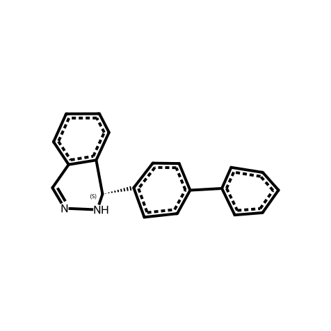 C1=NN[C@@H](c2ccc(-c3ccccc3)cc2)c2ccccc21